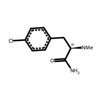 CN[C@H](Cc1ccc(Cl)cc1)C(N)=O